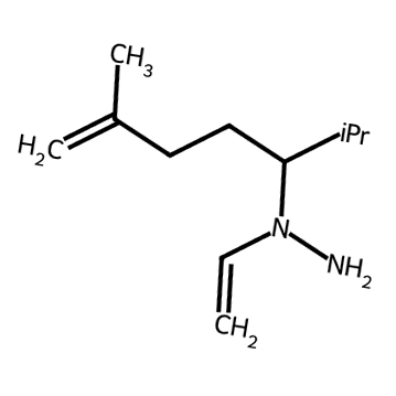 C=CN(N)C(CCC(=C)C)C(C)C